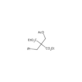 CCOC(=O)C(COC(C)=O)(CC(C)C)C(=O)OCC